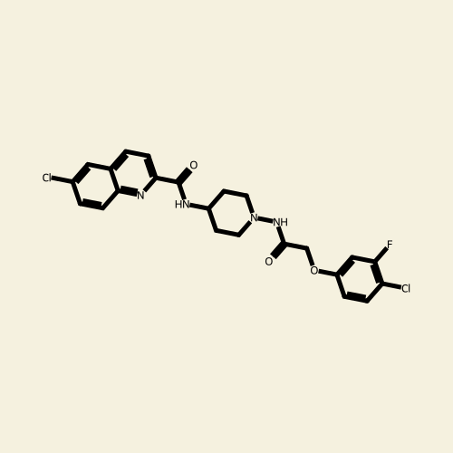 O=C(COc1ccc(Cl)c(F)c1)NN1CCC(NC(=O)c2ccc3cc(Cl)ccc3n2)CC1